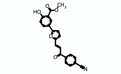 COC(=O)c1cc(-c2ccc(/C=C/C(=O)c3ccc(C#N)cc3)o2)ccc1O